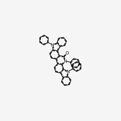 O=c1c2c(ccc3c2c2ccccc2n3-c2ccccc2)c2ccc3c4ccccc4n(-c4ccccc4)c3c2n1-c1ccccc1